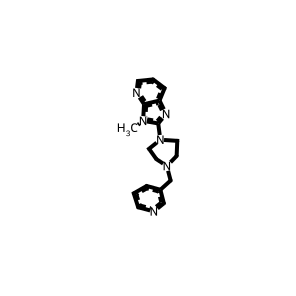 Cn1c(N2CCN(Cc3cccnc3)CC2)nc2cccnc21